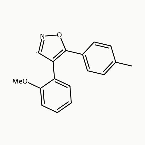 COc1ccccc1-c1[c]noc1-c1ccc(C)cc1